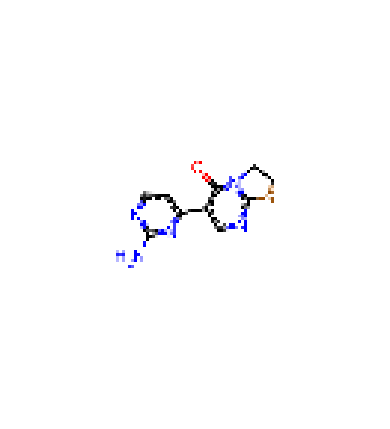 Nc1nccc(-c2cnc3n(c2=O)CCS3)n1